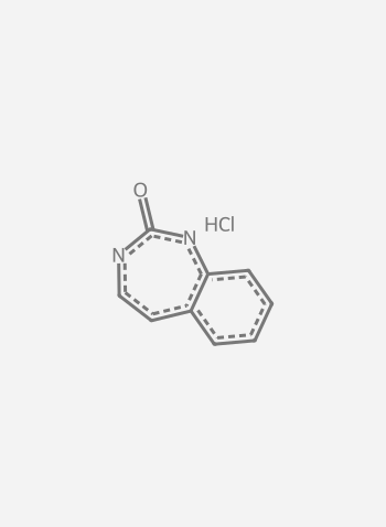 Cl.O=c1nccc2ccccc2n1